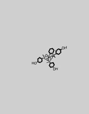 C[Si](C)(O[Si](O[Si](C)(C)c1ccc(O)cc1)(O[Si](C)(C)c1ccc(O)cc1)c1ccccc1)c1ccc(O)cc1